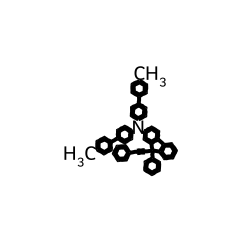 Cc1ccc(-c2ccc(N(c3ccc(-c4ccc(C)cc4)cc3)c3ccc4c(c3)C(C#Cc3ccccc3)(c3ccccc3)c3ccccc3-4)cc2)cc1